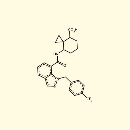 O=C(NC1CCCC(C(=O)O)C12CC2)c1cccc2cnn(Cc3ccc(C(F)(F)F)cc3)c12